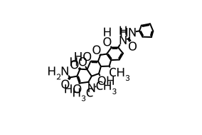 CC1c2ccc(NC(=O)Nc3ccccc3)c(O)c2C(=O)C2=C(O)C3(O)C(=O)C(C(N)=O)=C(O)C(N(C)C)C3C(O)C21